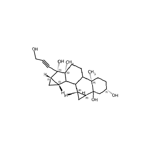 C[C@]12CCC3C(C1[C@@H]1C[C@@H]1[C@@]2(O)C#CCO)[C@H]1C[C@H]1C1(O)C[C@@H](O)CC[C@]31C